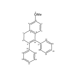 COc1ccc2c(c1)CCC(c1ccccc1)=C2c1ccccc1